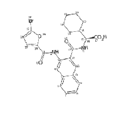 O=C(Nc1cc2ccccc2cc1C(=O)N[C@H](C(=O)O)C1CCCCC1)c1ccc(Br)o1